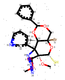 COC(=O)[C@]1(OC)[C@@H](S)O[C@@]2(Br)COC(c3ccccc3)O[C@@H]2C1(N=[N+]=[N-])c1cccnc1